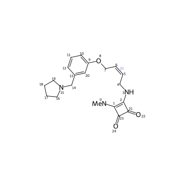 CNc1c(NC/C=C\COc2cccc(CN3CCCC3)c2)c(=O)c1=O